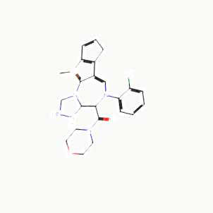 CS1=C2C(=CN(c3ccccc3Cl)C(C(=O)N3CCOCC3)C3NNCN23)C2=C1C=CC2